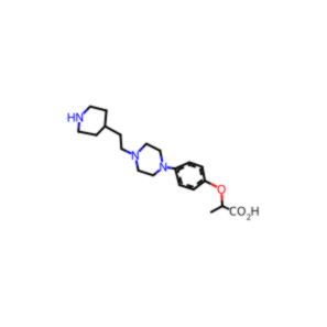 CC(Oc1ccc(N2CCN(CCC3CCNCC3)CC2)cc1)C(=O)O